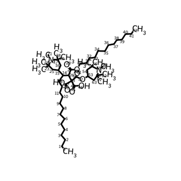 CCCCCCCCCCCCCCC(C1CC(C)(C)N(C)C(C)(C)C1)C(C(=O)OCCCCCCCCCCCCC)C(C(=O)O)(C(=O)O)C(=O)OC1CC(C)(C)N(C)C(C)(C)C1